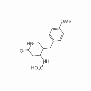 COc1ccc(CC2CNC(=O)CC2NC(=O)O)cc1